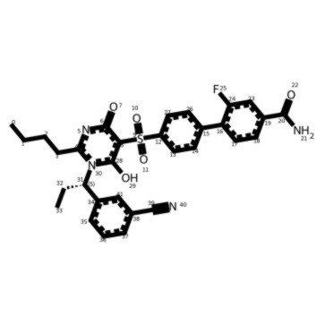 CCCCc1nc(=O)c(S(=O)(=O)c2ccc(-c3ccc(C(N)=O)cc3F)cc2)c(O)n1[C@@H](CC)c1cccc(C#N)c1